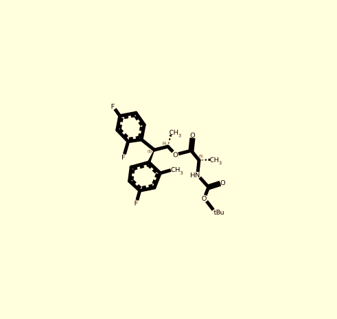 Cc1cc(F)ccc1[C@@H](c1ccc(F)cc1F)[C@H](C)OC(=O)[C@H](C)NC(=O)OC(C)(C)C